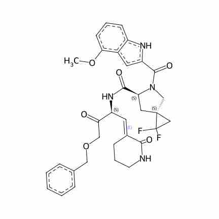 COc1cccc2[nH]c(C(=O)N3C[C@]4(C[C@H]3C(=O)N[C@@H](/C=C3\CCCNC3=O)C(=O)COCc3ccccc3)CC4(F)F)cc12